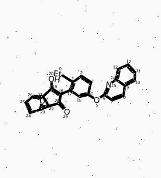 CCc1ccc(Oc2ccc3ccccc3n2)cc1C1=C(O)c2c(c3ccc2o3)C1=O